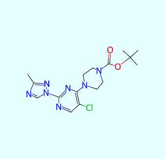 Cc1ncn(-c2ncc(Cl)c(N3CCN(C(=O)OC(C)(C)C)CC3)n2)n1